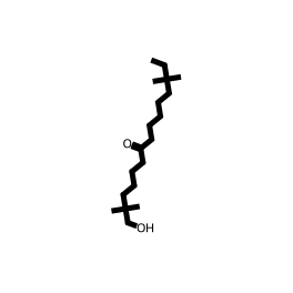 CCC(C)(C)CCCCCC(=O)CCCCC(C)(C)CO